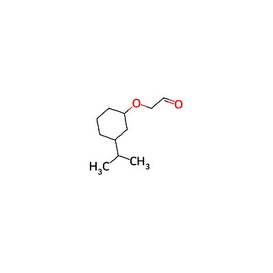 CC(C)C1CCCC(OCC=O)C1